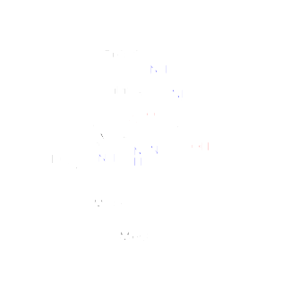 CCOC(=O)N[C@H](C(=O)NC(Cc1ccccc1)C(O)CN(Cc1ccc(OC)c(OC)c1)NC(=O)[C@@H](NC(=O)OCC)C(C)C)C(C)C